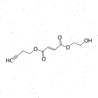 C#CCCOC(=O)/C=C/C(=O)OCCO